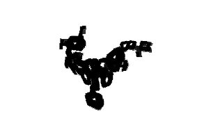 CCOC(=O)N1CCC2(CC1)Cn1cc(-c3nnc(Cc4ccc(F)cc4F)s3)c(=O)c(OCc3ccccc3)c1C(=O)N2